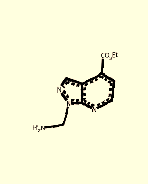 CCOC(=O)c1ccnc2c1cnn2CN